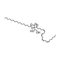 CCCCC/C=C\C/C=C\C/C=C\C/C=C\CCCC(=O)[C@@](OC(=O)CCCCCCCCCCCCCCC)(C(C)=O)C(O)CO